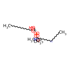 CCCCCCCC/C=C\CCCCCCCC(=O)C(C[N+](C)(C)C)OP(=O)([O-])OC[C@@H](CO)OC(=O)CCCCCCCCCCCCCCC